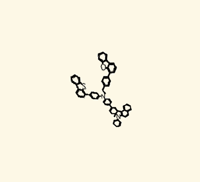 CC12CC=C(c3ccc(N(CCc4ccc(-c5cccc6c5oc5ccccc56)cc4)c4ccc(-c5cccc6c5sc5ccccc56)cc4)cc3)C=C1c1c(ccc3ccccc13)N2C1=CCCC=C1